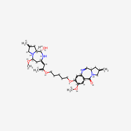 C=C1CC2C=Nc3cc(OCCCCCOC(=C)/C=C4\CC(OC)N5CC(=C)C[C@H]5[C@H](O)N4)c(OC)cc3C(=O)N2C1